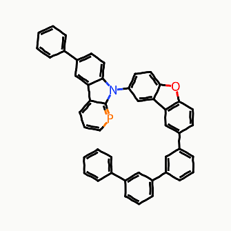 c1ccc(-c2cccc(-c3cccc(-c4ccc5oc6ccc(-n7c8ccc(-c9ccccc9)cc8c8cccpc87)cc6c5c4)c3)c2)cc1